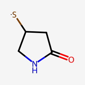 O=C1CC([S])CN1